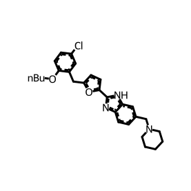 CCCCOc1ccc(Cl)cc1Cc1ccc(-c2nc3ccc(CN4CCCCC4)cc3[nH]2)o1